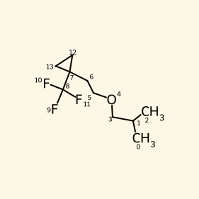 CC(C)COCCC1(C(F)(F)F)CC1